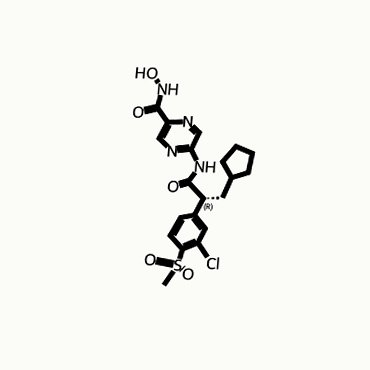 CS(=O)(=O)c1ccc([C@@H](CC2CCCC2)C(=O)Nc2cnc(C(=O)NO)cn2)cc1Cl